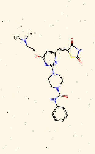 CN(C)CCOc1cc(/C=C2\SC(=O)NC2=O)nc(N2CCN(C(=O)Nc3ccccc3)CC2)n1